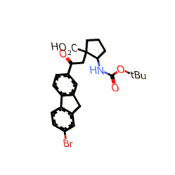 CC(C)(C)OC(=O)NC1CCCC1(CC(=O)c1ccc2c(c1)Cc1cc(Br)ccc1-2)C(=O)O